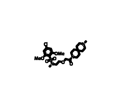 COc1cc(Cl)cc(OC)c1S(=O)(=O)N(C)CCOCC(=O)N1CCC2(CCN(C)CC2)CC1